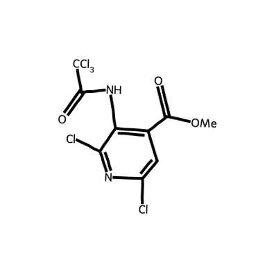 COC(=O)c1cc(Cl)nc(Cl)c1NC(=O)C(Cl)(Cl)Cl